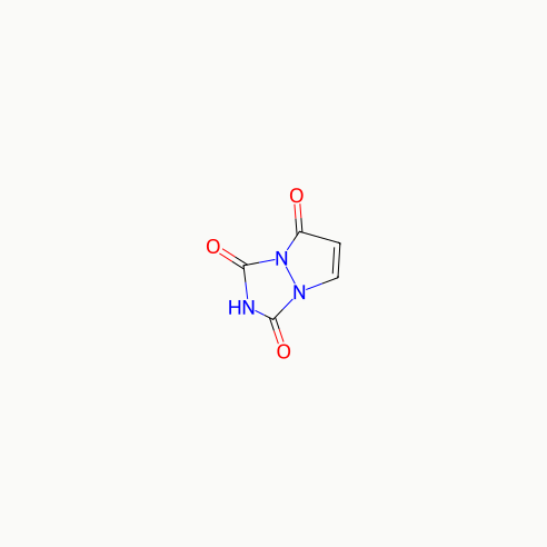 O=c1[nH]c(=O)n2c(=O)ccn12